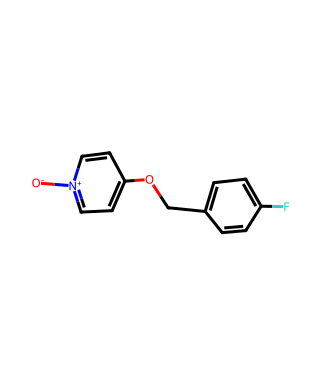 [O-][n+]1ccc(OCc2ccc(F)cc2)cc1